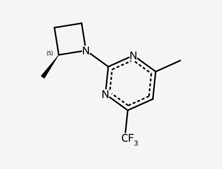 Cc1cc(C(F)(F)F)nc(N2CC[C@@H]2C)n1